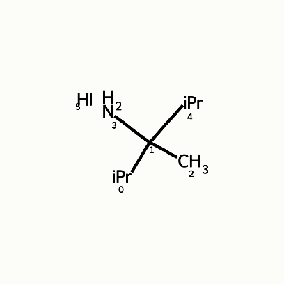 CC(C)C(C)(N)C(C)C.I